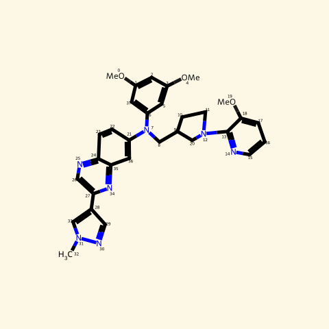 COc1cc(OC)cc(N(CC2CCN(c3ncccc3OC)C2)c2ccc3ncc(-c4cnn(C)c4)nc3c2)c1